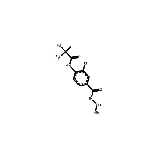 CCCCNNC(=O)c1ccc(NC(=O)C(C)(O)C(F)(F)F)c(Cl)c1